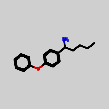 CCCCC(N)c1ccc(Oc2ccccc2)cc1